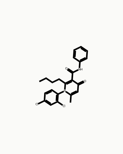 CCCCc1c(C(=O)Nc2ccccc2)c(=O)cc(C)n1-c1ccc(Cl)cc1Cl